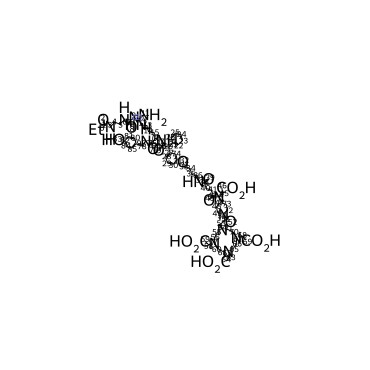 CCC(=O)NCCNC(=O)/N=C(/N)NCCC[C@@H](NC(=O)C(c1ccccc1)c1cccc(OCCCCNC(=O)CCC(=O)N(CC(=O)O)C2CCN(C(=O)CN3CCN(CC(=O)O)CCN(CC(=O)O)CCN(CC(=O)O)CC3)CC2)c1)C(=O)NCc1ccc(O)cc1